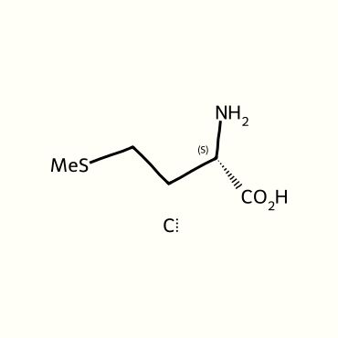 CSCC[C@H](N)C(=O)O.[C]